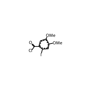 COc1cc(I)c(C(=O)Cl)cc1OC